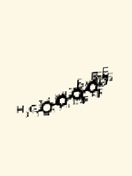 CCC1CCC(c2ccc(-c3cc(F)c(-c4cc(F)c(OC(F)(F)F)c(F)c4)c(F)c3)cc2)CC1